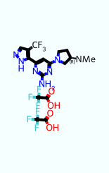 CN[C@@H]1CCN(c2cc(-c3[nH]ncc3C(F)(F)F)nc(N)n2)C1.O=C(O)C(F)(F)F.O=C(O)C(F)(F)F